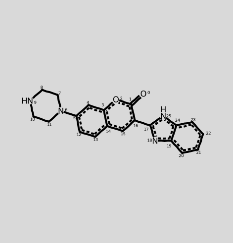 O=c1oc2cc(N3CCNCC3)ccc2cc1-c1nc2ccccc2[nH]1